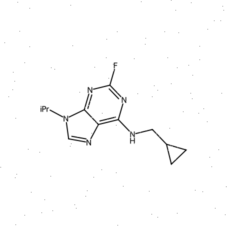 CC(C)n1cnc2c(NCC3CC3)nc(F)nc21